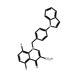 O=C(O)c1cn(Cc2ccc(-n3ccc4ccccc43)cc2)c2c(F)ccc(F)c2c1=O